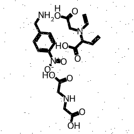 C=CC(C(=O)O)N(C=C)CC(=O)O.NCc1ccc([N+](=O)[O-])cc1.O=C(O)CNCC(=O)O